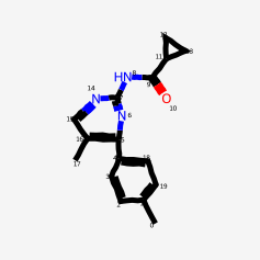 Cc1ccc(-c2nc(NC(=O)C3CC3)ncc2C)cc1